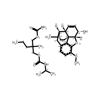 CCCC(C)(COC(N)=O)COC(=O)NC(C)C.COc1ccc2c3c1O[C@H]1[C@@H](O)C=C[C@H]4[C@@H](C2)N(C)CC[C@@]341